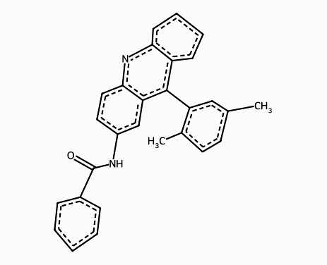 Cc1ccc(C)c(-c2c3ccccc3nc3ccc(NC(=O)c4ccccc4)cc23)c1